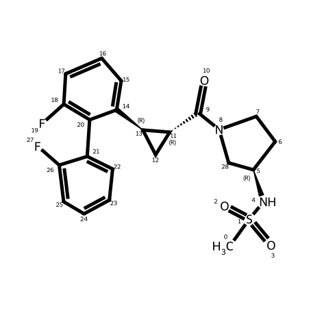 CS(=O)(=O)N[C@@H]1CCN(C(=O)[C@@H]2C[C@H]2c2cccc(F)c2-c2ccccc2F)C1